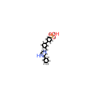 O=S(=O)(O)c1ccc(-c2cccc(CN3CCNC(c4ccccc4)C3)c2)cc1